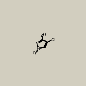 CC(C)n1cc(Cl)c(S)n1